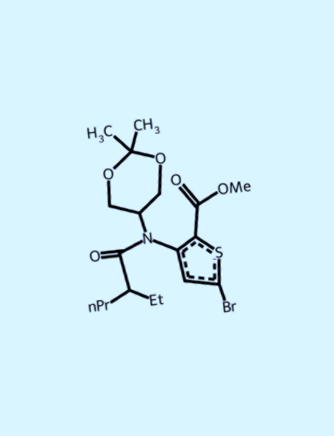 CCCC(CC)C(=O)N(c1cc(Br)sc1C(=O)OC)C1COC(C)(C)OC1